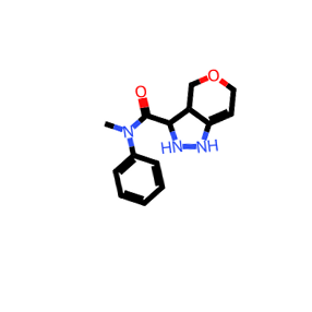 CN(C(=O)C1NNC2=CCOCC21)c1ccccc1